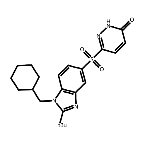 CC(C)(C)c1nc2cc(S(=O)(=O)c3ccc(=O)[nH]n3)ccc2n1CC1CCCCC1